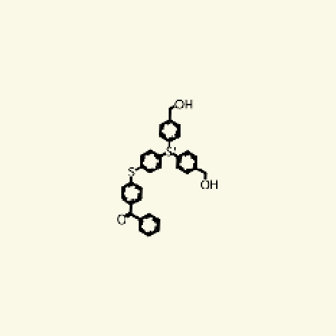 O=C(c1ccccc1)c1ccc(Sc2ccc([S+](c3ccc(CO)cc3)c3ccc(CO)cc3)cc2)cc1